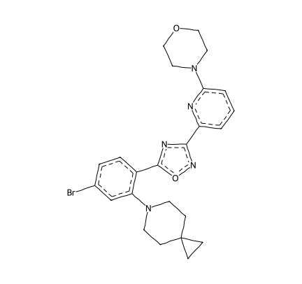 Brc1ccc(-c2nc(-c3cccc(N4CCOCC4)n3)no2)c(N2CCC3(CC2)CC3)c1